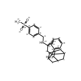 CC1C2CC3CC1CC(C2)C3(CC(=O)NCc1ccc(S(C)(=O)=O)cc1)c1ccccc1